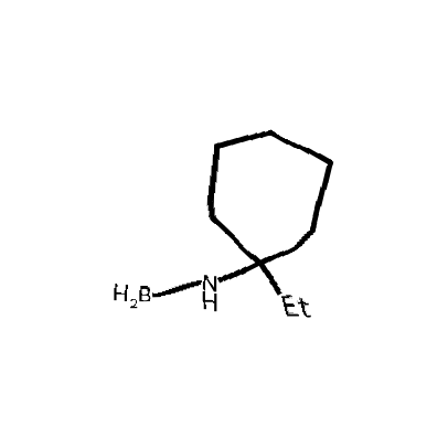 BNC1(CC)CCCCC1